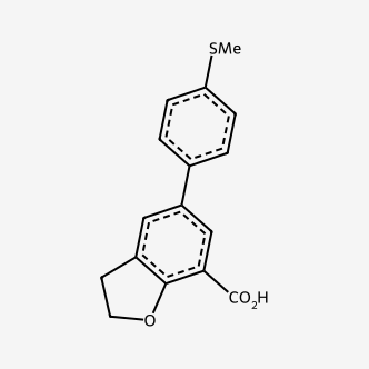 CSc1ccc(-c2cc3c(c(C(=O)O)c2)OCC3)cc1